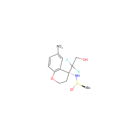 CC(C)(C)[S@@+]([O-])N[C@]1(C(F)(F)CO)CCOc2ccc([N+](=O)[O-])cc21